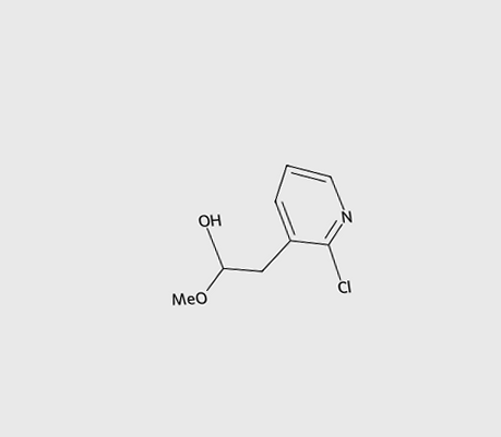 COC(O)Cc1cccnc1Cl